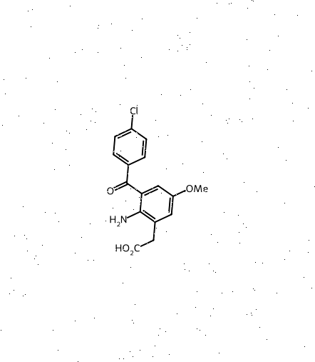 COc1cc(CC(=O)O)c(N)c(C(=O)c2ccc(Cl)cc2)c1